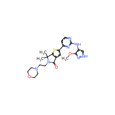 COc1n[nH]cc1Nc1nccc(-c2cc3c(s2)C(C)(C)N(CCN2CCOCC2)C3=O)n1